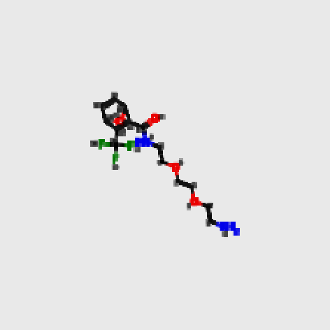 NCCOCCOCCNC(=O)C1=C(C(F)(F)F)C2C=CC1O2